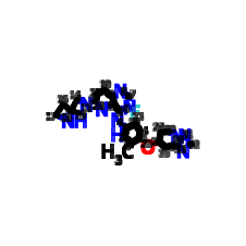 Cc1cc(Nc2ncnc3ccc(N4CC5(CCN5)C4)nc23)c(F)cc1Oc1ccn2ncnc2c1